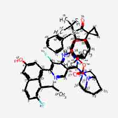 CCc1c(F)ccc2cc(O)cc(-c3ncc4c(N5CC6CCC(C5)N6C(=O)OC(C)(C)C)nc(OCC5(C(=O)[Si](c6ccccc6)(c6ccccc6)C(C)(C)C)CC5)nc4c3F)c12